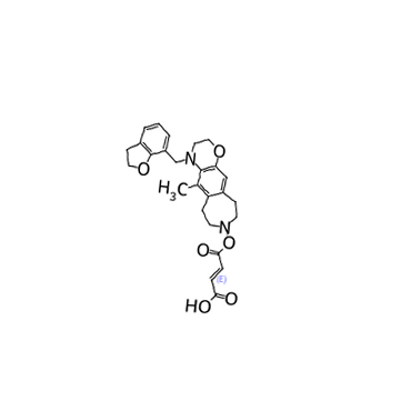 Cc1c2c(cc3c1N(Cc1cccc4c1OCC4)CCO3)CCN(OC(=O)/C=C/C(=O)O)CC2